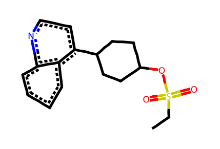 CCS(=O)(=O)OC1CCC(c2ccnc3ccccc23)CC1